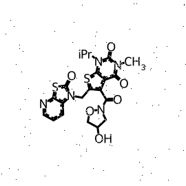 CC(C)n1c(=O)n(C)c(=O)c2c(C(=O)N3CC(O)CO3)c(Cn3c(=O)sc4ncccc43)sc21